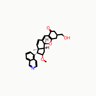 CO[C@@H]1C[C@H]2[C@@H]3OC4=C(C=C3C=C[C@]2(C)[C@H]1c1cccc2cnccc12)C(=O)CC(CO)C4